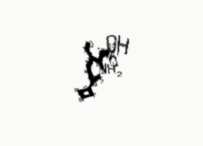 CCC(CC(C)C1CCC1)C(N)CC(=O)O